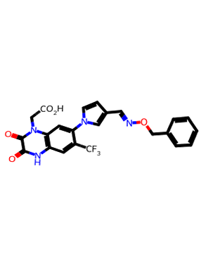 O=C(O)Cn1c(=O)c(=O)[nH]c2cc(C(F)(F)F)c(-n3ccc(C=NOCc4ccccc4)c3)cc21